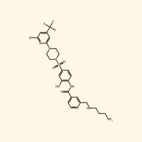 NCCCNCc1cccc(C(=O)Nc2ccc(S(=O)(=O)N3CCN(c4cc(C(F)(F)F)cc(Cl)n4)CC3)cc2O)c1